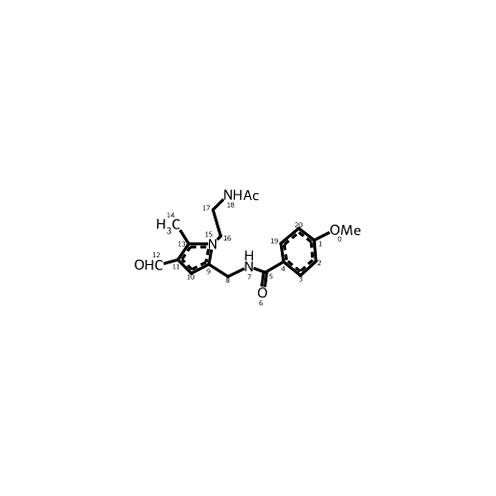 COc1ccc(C(=O)NCc2cc(C=O)c(C)n2CCNC(C)=O)cc1